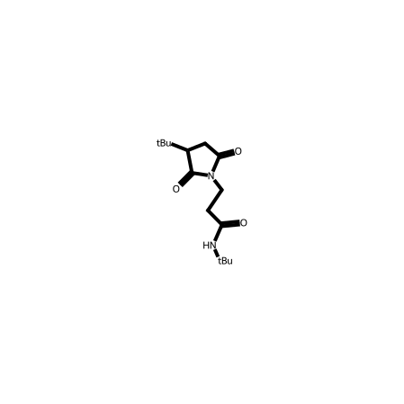 CC(C)(C)NC(=O)CCN1C(=O)CC(C(C)(C)C)C1=O